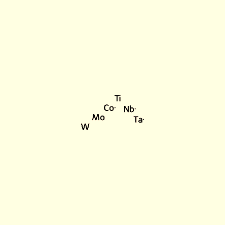 [Co].[Mo].[Nb].[Ta].[Ti].[W]